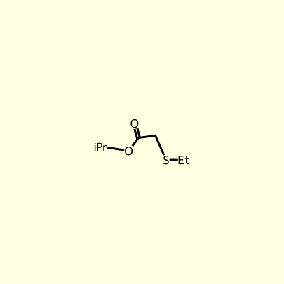 CCSCC(=O)OC(C)C